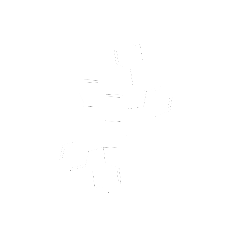 C1=CC(c2ccccc2)(c2ccccc2)Oc2c1c1c(c3ccccc23)C(c2ccccc2)c2ccccc2-1